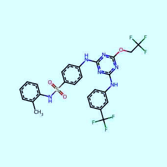 Cc1ccccc1NS(=O)(=O)c1ccc(Nc2nc(Nc3cccc(C(F)(F)F)c3)nc(OCC(F)(F)F)n2)cc1